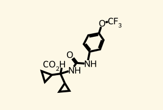 O=C(Nc1ccc(OC(F)(F)F)cc1)NC(C(=O)O)(C1CC1)C1CC1